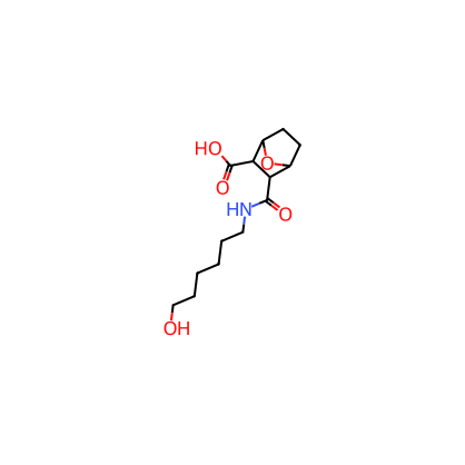 O=C(O)C1C2CCC(O2)C1C(=O)NCCCCCCO